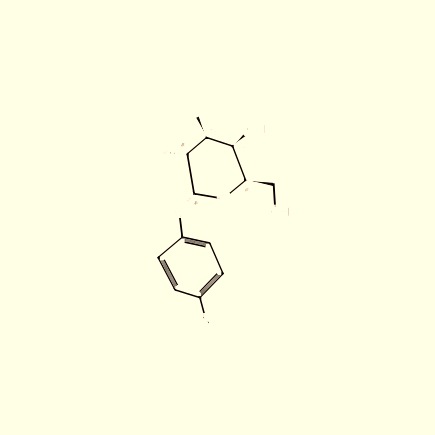 Nc1ccc(O[C@H]2O[C@H](CO)[C@H](O)[C@H](O)[C@H]2O)cc1